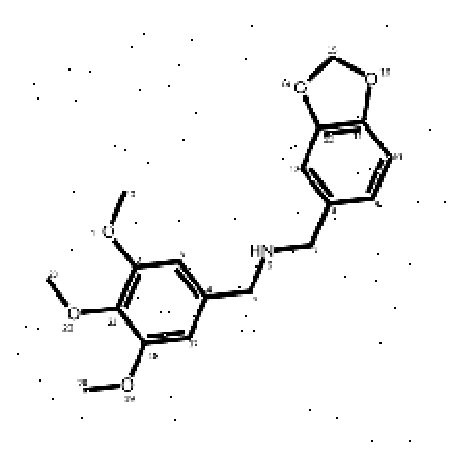 COc1cc(CNCc2ccc3c(c2)OCO3)cc(OC)c1OC